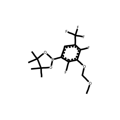 COCOc1c(F)c(B2OC(C)(C)C(C)(C)O2)cc(C(F)(F)F)c1F